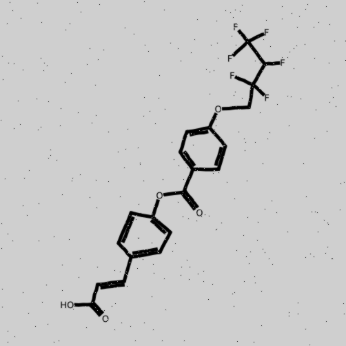 O=C(O)/C=C/c1ccc(OC(=O)c2ccc(OCC(F)(F)C(F)C(F)(F)F)cc2)cc1